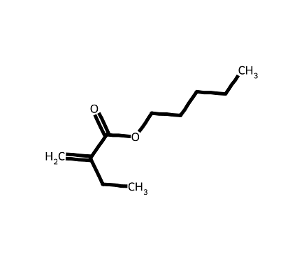 C=C(CC)C(=O)OCCCCC